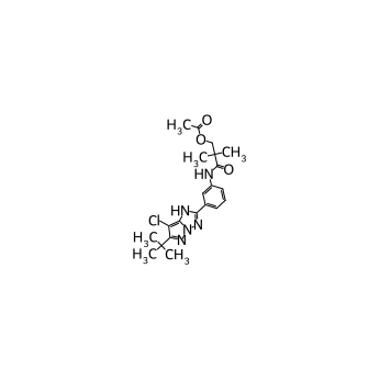 CC(=O)OCC(C)(C)C(=O)Nc1cccc(-c2nn3nc(C(C)(C)C)c(Cl)c3[nH]2)c1